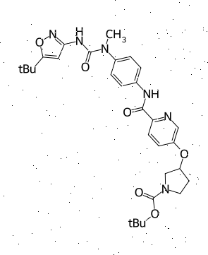 CN(C(=O)Nc1cc(C(C)(C)C)on1)c1ccc(NC(=O)c2ccc(OC3CCN(C(=O)OC(C)(C)C)C3)cn2)cc1